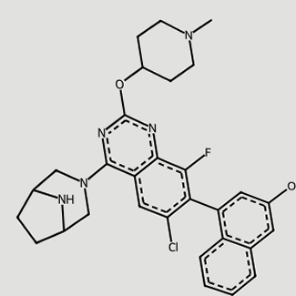 CN1CCC(Oc2nc(N3CC4CCC(C3)N4)c3cc(Cl)c(-c4cc(O)cc5ccccc45)c(F)c3n2)CC1